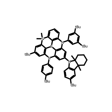 CC(C)(C)c1ccc(N2c3cc(N4c5ccc(C(C)(C)C)cc5C5(C)CCCCC45C)cc4c3B3c5c(cccc5[Si](C)(C)c5cc(C(C)(C)C)cc2c53)N4c2cc(C(C)(C)C)cc(C(C)(C)C)c2)cc1